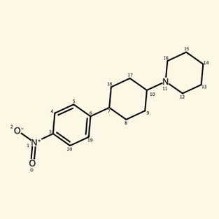 O=[N+]([O-])c1ccc(C2CCC(N3CCCCC3)CC2)cc1